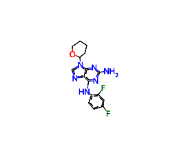 Nc1nc(Nc2ccc(F)cc2F)c2ncn(C3CCCCO3)c2n1